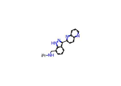 CC(C)NCc1cccc2c(-c3ccc4ncccc4n3)n[nH]c12